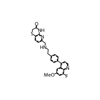 COc1cc(F)c2nccc(-c3ccc(CCNCc4ccc5c(n4)NC(=O)CS5)cc3)c2c1